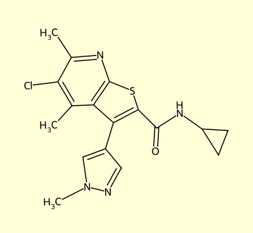 Cc1nc2sc(C(=O)NC3CC3)c(-c3cnn(C)c3)c2c(C)c1Cl